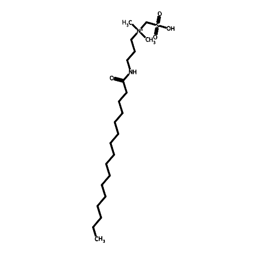 CCCCCCCCCCCCCCCC(=O)NCCC[N+](C)(C)CS(=O)(=O)O